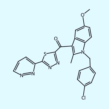 COc1ccc2c(c1)c(C(=O)c1nnc(-c3cccnn3)s1)c(C)n2Cc1ccc(Cl)cc1